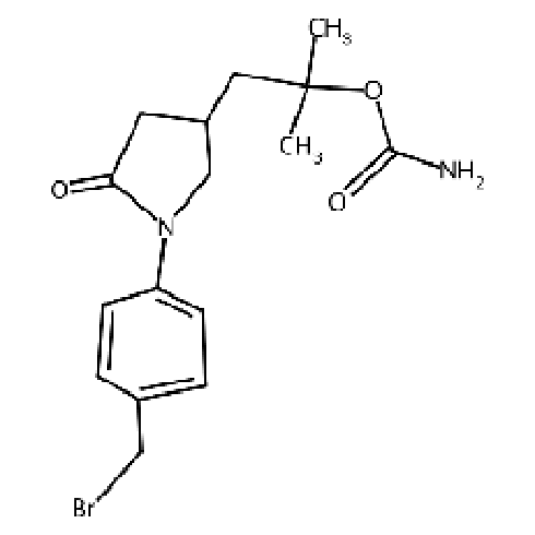 CC(C)(CC1CC(=O)N(c2ccc(CBr)cc2)C1)OC(N)=O